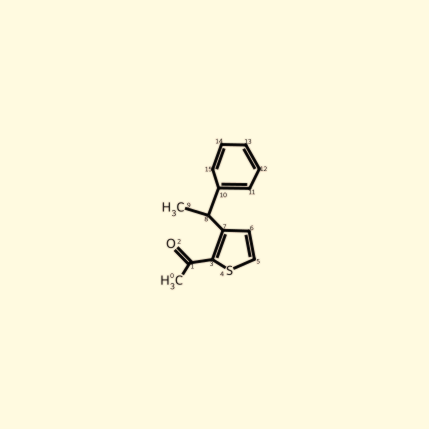 CC(=O)c1sccc1C(C)c1ccccc1